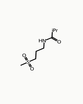 CC(C)C(=O)NCCCS(C)(=O)=O